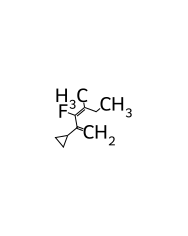 C=C(/C(F)=C(/C)CC)C1CC1